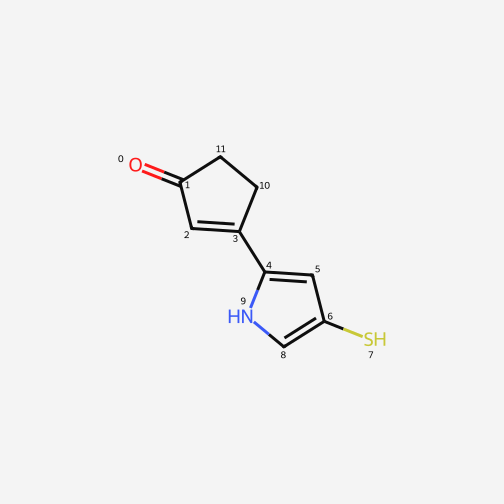 O=C1C=C(c2cc(S)c[nH]2)CC1